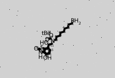 BCCCCCCCCCN(C[C@H](O)c1ccc(O)c2[nH]c(=O)sc12)C(=O)OC(C)(C)C